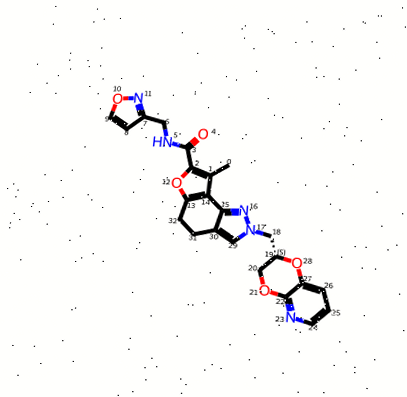 Cc1c(C(=O)NCc2ccon2)oc2c1-c1nn(C[C@H]3COc4ncccc4O3)cc1CC2